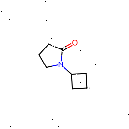 O=C1CCCN1C1C[CH]C1